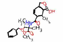 COC(=O)C(C)(NC(=O)c1ccc2c(c1C)B(O)OC2)[C@@H](C)OCc1ccccc1